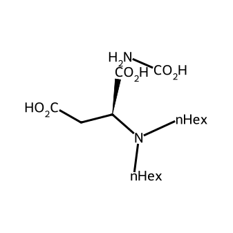 CCCCCCN(CCCCCC)[C@@H](CC(=O)O)C(=O)O.NC(=O)O